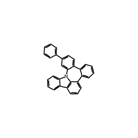 c1ccc(-c2ccc3c(c2)-n2c4ccccc4c4cccc(c42)-c2ccccc2-3)cc1